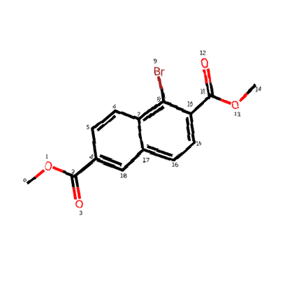 COC(=O)c1ccc2c(Br)c(C(=O)OC)ccc2c1